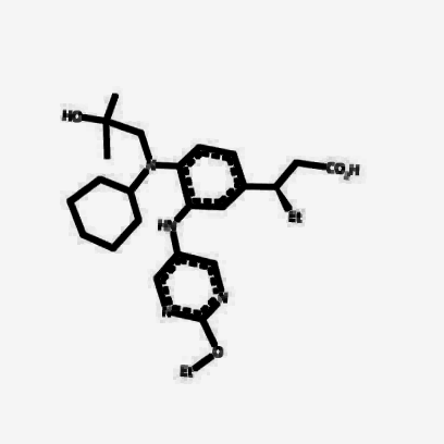 CCOc1ncc(Nc2cc([C@H](CC)CC(=O)O)ccc2N(CC(C)(C)O)C2CCCCC2)cn1